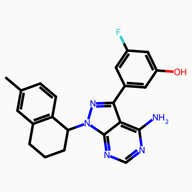 Cc1ccc2c(c1)CCCC2n1nc(-c2cc(O)cc(F)c2)c2c(N)ncnc21